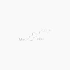 CCCCc1c(C=CC(=O)O)ccc2cc(OC)ccc12